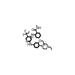 CCN1CCN2c3ccc(Nc4cc(Nc5ccccc5C(=O)NC)c(C(F)(F)F)cn4)cc3OC[C@@]2(C)C1